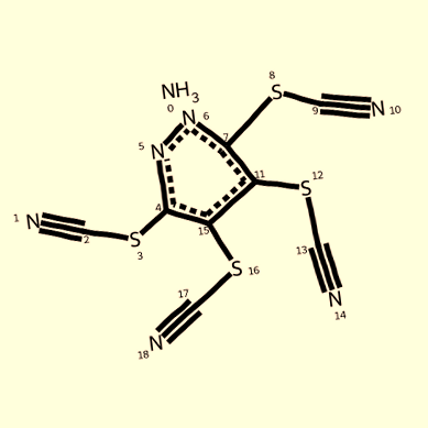 N.N#CSc1nnc(SC#N)c(SC#N)c1SC#N